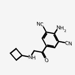 N#Cc1cc(C(=O)CNC2CCC2)cc(C#N)c1N